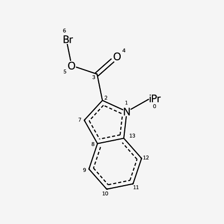 CC(C)n1c(C(=O)OBr)cc2ccccc21